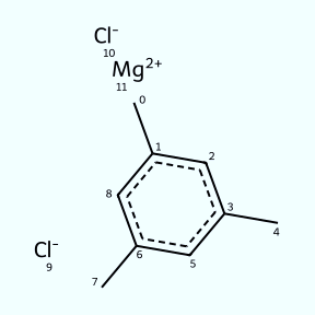 Cc1cc(C)cc(C)c1.[Cl-].[Cl-].[Mg+2]